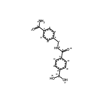 NC(=O)c1ccc(CNC(=O)c2ccc(B(O)O)cc2)cc1